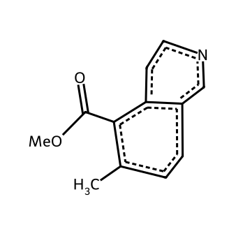 COC(=O)c1c(C)ccc2cnccc12